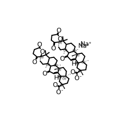 CC1(C)C2CC[C@]3(C)C(C(=O)C=C4[C@H]5C[C@@](C)(C(=O)[O-])CC[C@]5(C)CC[C@]43C)[C@@]2(C)CC[C@]12OC(=O)CCC2=O.CC1(C)C2CC[C@]3(C)C(C(=O)C=C4[C@H]5C[C@@](C)(C(=O)[O-])CC[C@]5(C)CC[C@]43C)[C@@]2(C)CC[C@]12OC(=O)CCC2=O.[Na+].[Na+]